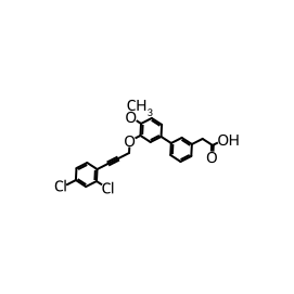 COc1ccc(-c2cccc(CC(=O)O)c2)cc1OCC#Cc1ccc(Cl)cc1Cl